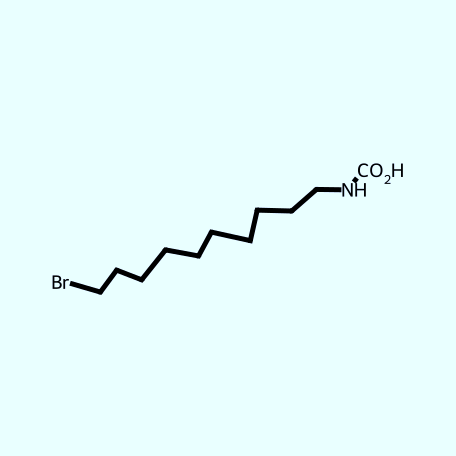 O=C(O)NCCCCCCCCCCBr